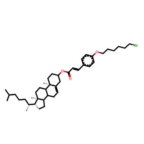 CC(C)CCC[C@@H](C)[C@H]1CCC2C3CC=C4CC(OC(=O)C=Cc5ccc(OCCCCCCBr)cc5)CC[C@]4(C)C3CC[C@@]21C